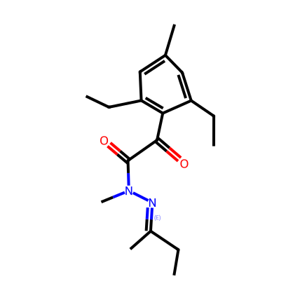 CC/C(C)=N/N(C)C(=O)C(=O)c1c(CC)cc(C)cc1CC